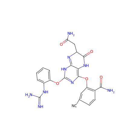 N#Cc1ccc(C(N)=O)c(OC2=C3NC(=O)C(CC(N)=O)N=C3NC(Oc3ccccc3NC(=N)N)=N2)c1